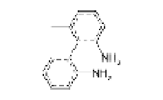 Cc1cccc(N)c1-c1ccccc1N